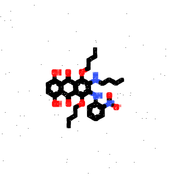 CCCCNc1c(Nc2ccccc2[N+](=O)[O-])c(OCCCC)c2c(c1OCCCC)C(=O)c1c(O)ccc(O)c1C2=O